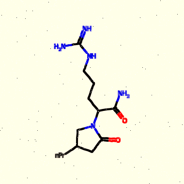 CCCC1CC(=O)N(C(CCCNC(=N)N)C(N)=O)C1